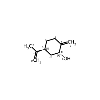 C=C(C)[C@H]1CCC(=C)[C@H](O)C1